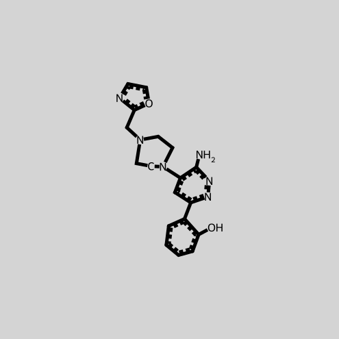 Nc1nnc(-c2ccccc2O)cc1N1CCN(Cc2ncco2)CC1